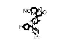 CC(C)c1nnc(C(c2ccc(F)cc2)N2C[C@H](C)N(c3cc(=O)n(C)c4ccc(C#N)nc34)C[C@H]2C)s1